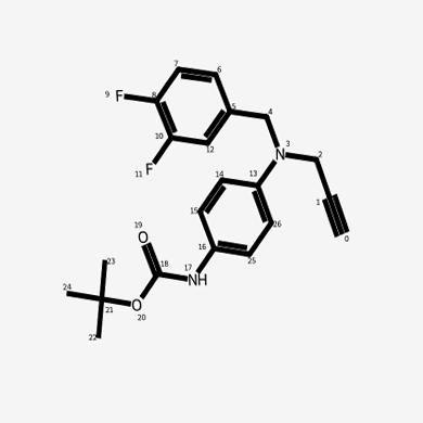 C#CCN(Cc1ccc(F)c(F)c1)c1ccc(NC(=O)OC(C)(C)C)cc1